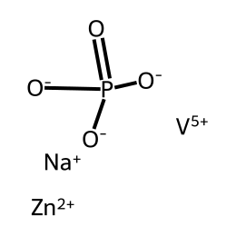 O=P([O-])([O-])[O-].[Na+].[V+5].[Zn+2]